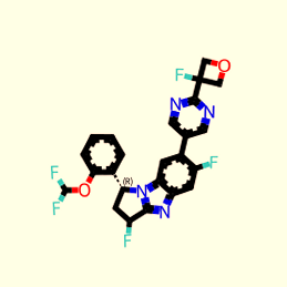 Fc1cc2nc3n(c2cc1-c1cnc(C2(F)COC2)nc1)[C@@H](c1ccccc1OC(F)F)CC3F